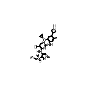 Cc1cc(Nc2ncc(Cl)c(Nc3cn(C)nc3S(=O)(=O)CC(C)C)n2)c(OC2CC2)cc1C1CNC1